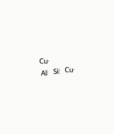 [Al].[Cu].[Cu].[Si]